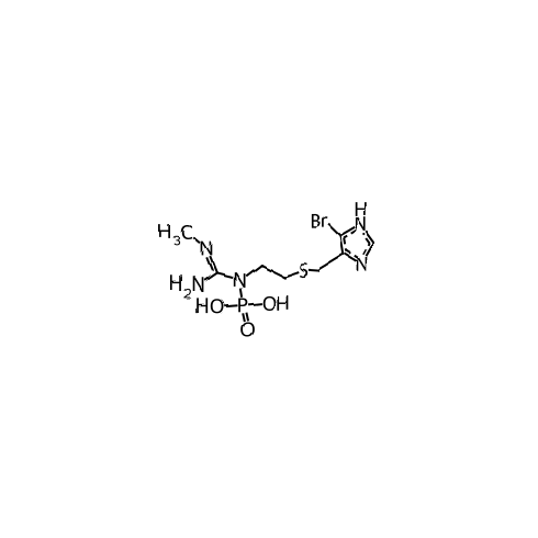 CN=C(N)N(CCSCc1nc[nH]c1Br)P(=O)(O)O